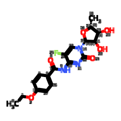 CCOc1ccc(C(=O)Nc2nc(=O)n([C@@H]3O[C@H](C)[C@@H](O)[C@H]3O)cc2F)cc1